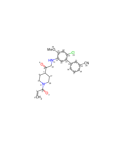 C=CC(=O)N1CCC(C(=O)CNc2cc(-c3cccc(C#N)c3)c(Cl)cc2OC)CC1